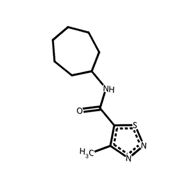 Cc1nnsc1C(=O)NC1CCCCCC1